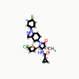 C[C@H]1C(=O)N(c2ccc3c(cnn3-c3ccc(F)cc3)c2)[C@H](c2ccc(Cl)s2)[C@H]1NC(=O)C1CC1